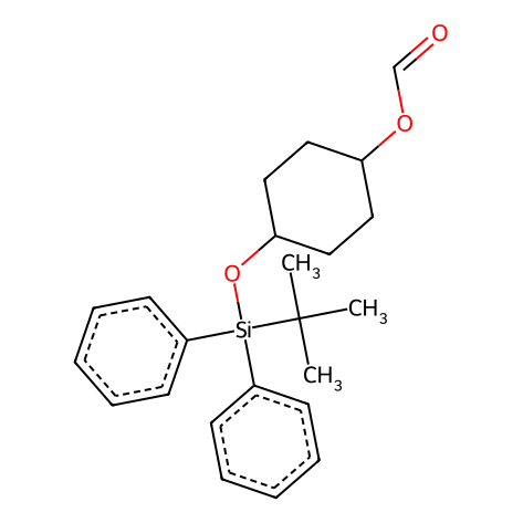 CC(C)(C)[Si](OC1CCC(OC=O)CC1)(c1ccccc1)c1ccccc1